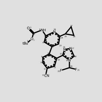 CC(C)(C)OC(=O)Nc1cc(-c2ccc(C#N)cc2-c2nncn2C(F)F)cc(C2CC2)n1